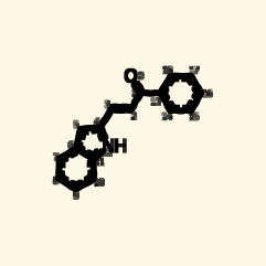 O=C(C=Cc1cc2ccccc2[nH]1)c1ccccc1